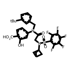 CC(C)(C)c1cccc(CN(C(=O)CN(C23CC(C2)C3)S(=O)(=O)c2c(F)c(F)c(F)c(F)c2F)c2ccc(C(=O)O)c(O)c2)c1